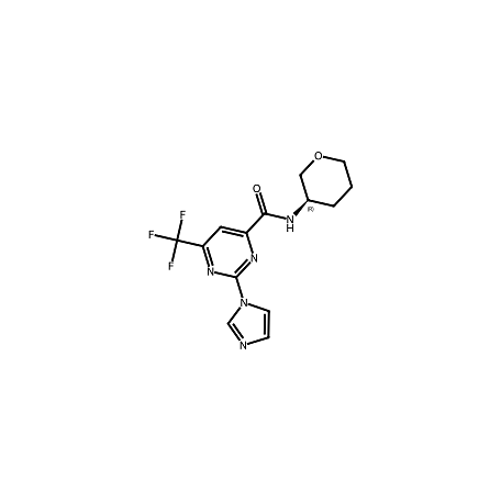 O=C(N[C@@H]1CCCOC1)c1cc(C(F)(F)F)nc(-n2ccnc2)n1